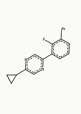 CC(C)c1cccc(-c2cnc(C3CC3)cn2)c1F